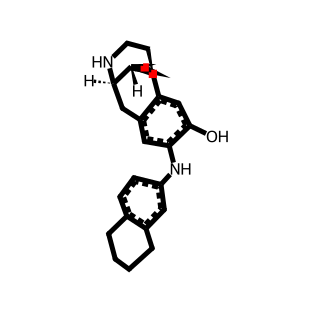 Oc1cc2c(cc1Nc1ccc3c(c1)CCCC3)C[C@H]1NCC[C@@]23CCCC[C@@H]13